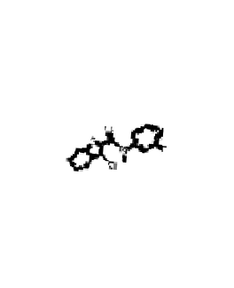 CN(C(=O)c1sc2ccccc2c1Cl)c1cccc(F)c1